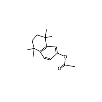 CC(=O)Oc1ccc2c(c1)C(C)(C)CCC2(C)C